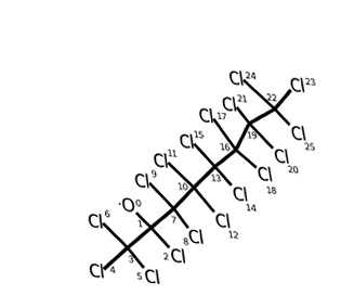 [O]C(Cl)(C(Cl)(Cl)Cl)C(Cl)(Cl)C(Cl)(Cl)C(Cl)(Cl)C(Cl)(Cl)C(Cl)(Cl)C(Cl)(Cl)Cl